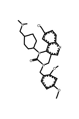 COc1ccc(CN2Cc3cnc4ccc(Cl)cc4c3N(C3CCC(CN(C)C)CC3)C2=O)c(OC)c1